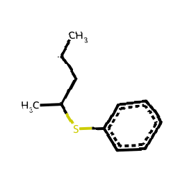 C[CH]CC(C)Sc1ccccc1